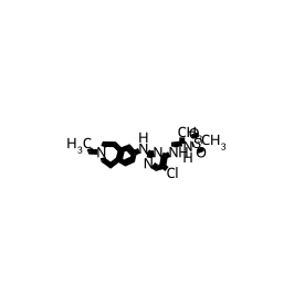 CCN1CCc2ccc(Nc3ncc(Cl)c(NCC(C)NS(C)(=O)=O)n3)cc2CC1